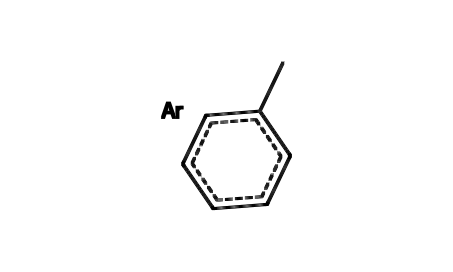 Cc1ccccc1.[Ar]